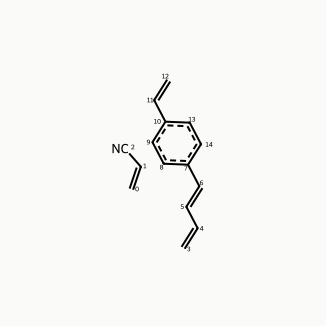 C=CC#N.C=CC=Cc1ccc(C=C)cc1